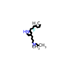 C/C=C\C/C=C\C(F)CC1=CC(CCCCN(C)CCC)=C=CN1